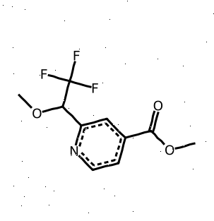 COC(=O)c1ccnc(C(OC)C(F)(F)F)c1